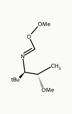 COO/C=N/[C@@H]([C@H](C)OC)C(C)(C)C